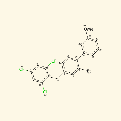 CCc1cc(Cc2c(Cl)cc(Cl)cc2Cl)ccc1-c1cccc(OC)c1